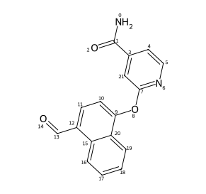 NC(=O)c1ccnc(Oc2ccc(C=O)c3ccccc23)c1